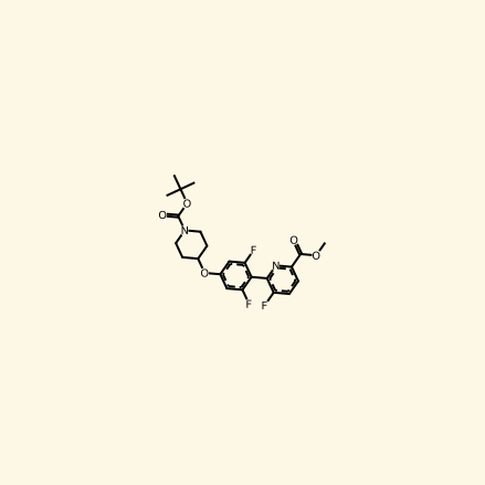 COC(=O)c1ccc(F)c(-c2c(F)cc(OC3CCN(C(=O)OC(C)(C)C)CC3)cc2F)n1